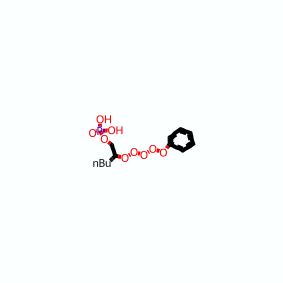 CCCCC(COP(=O)(O)O)OOOOOc1ccccc1